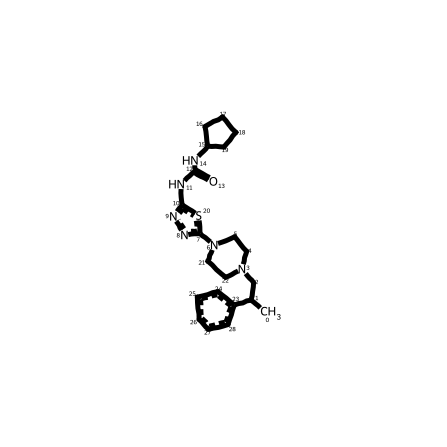 CC(CN1CCN(c2nnc(NC(=O)NC3CCCC3)s2)CC1)c1ccccc1